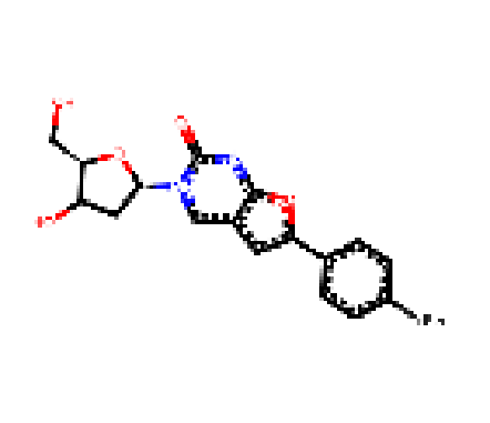 CCCCCc1ccc(-c2cc3cn([C@H]4CC(O)[C@@H](CO)O4)c(=O)nc3o2)cc1